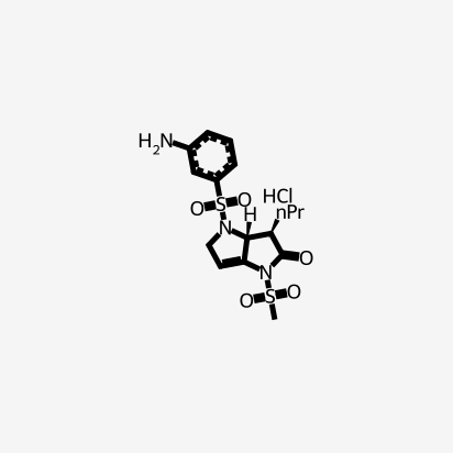 CCC[C@H]1C(=O)N(S(C)(=O)=O)C2=CCN(S(=O)(=O)c3cccc(N)c3)[C@@H]21.Cl